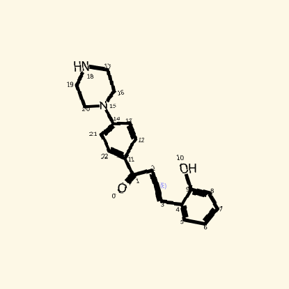 O=C(/C=C/c1ccccc1O)c1ccc(N2CCNCC2)cc1